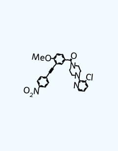 COc1ccc(C(=O)N2CCN(c3ncccc3Cl)CC2)cc1C#Cc1ccc([N+](=O)[O-])cc1